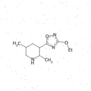 CCOc1noc(C2CC(C)CNC2C)n1